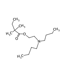 CCCCN(CCCC)CCOC(=O)C(C)(C)CC